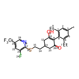 CCc1cc(C)cc(CC)c1C1=C(O)CC(CCSc2ncc(C(F)(F)F)cc2F)CC1=O